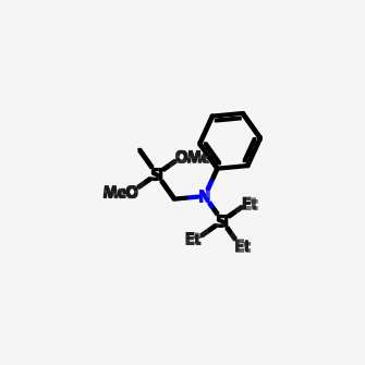 CC[Si](CC)(CC)N(C[Si](C)(OC)OC)c1ccccc1